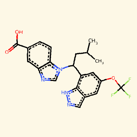 CC(C)CC(c1cc(OC(F)(F)F)cc2cn[nH]c12)n1cnc2cc(C(=O)O)ccc21